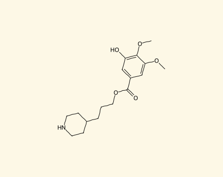 COc1cc(C(=O)OCCCC2CCNCC2)cc(O)c1OC